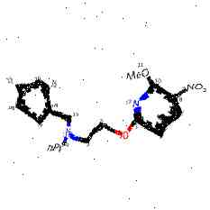 CCCN(CCOc1ccc([N+](=O)[O-])c(OC)n1)Cc1ccccc1